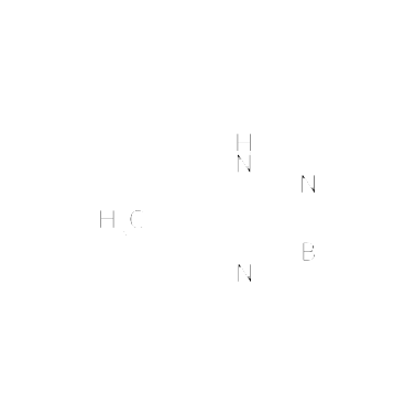 Cc1nbn[nH]1